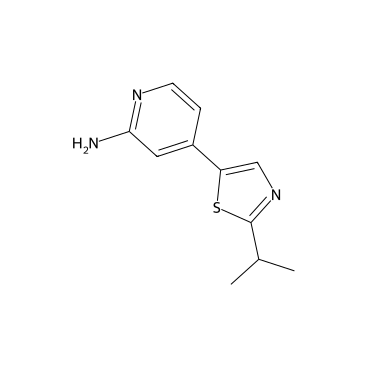 CC(C)c1ncc(-c2ccnc(N)c2)s1